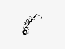 CCOC(=O)CC(=O)C[S+]([O-])c1nc2cccnc2s1